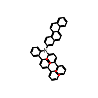 c1ccc(-c2ccc(-c3ccccc3N(c3ccc(-c4ccccc4)cc3)c3ccc4c(ccc5c6ccccc6ccc45)c3)cc2)cc1